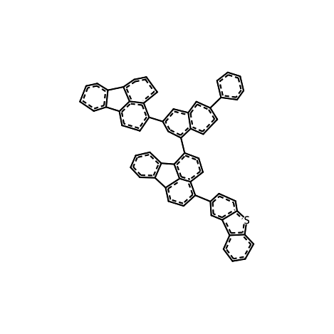 c1ccc(-c2ccc3c(-c4ccc5c(-c6ccc7sc8ccccc8c7c6)ccc6c5c4-c4ccccc4-6)cc(-c4ccc5c6c(cccc46)-c4ccccc4-5)cc3c2)cc1